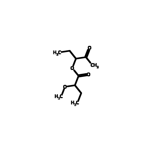 CCC(OC(=O)C(CC)OC)C(C)=O